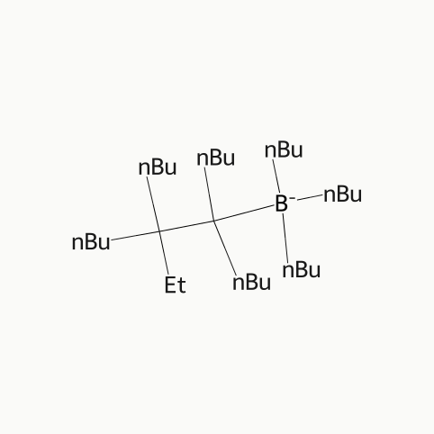 CCCC[B-](CCCC)(CCCC)C(CCCC)(CCCC)C(CC)(CCCC)CCCC